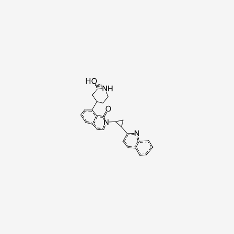 O=c1c2c(C3CCN[C@H](O)C3)cccc2ccn1C1CC1c1ccc2ccccc2n1